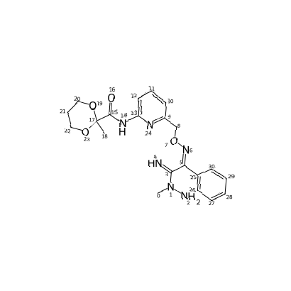 CN(N)C(=N)/C(=N\OCc1cccc(NC(=O)C2(C)OCCCO2)n1)c1ccccc1